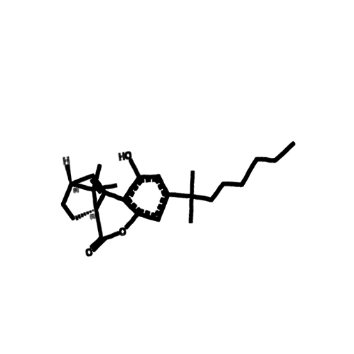 CCCCCCC(C)(C)c1cc(O)c2c(c1)OC(=O)[C@]13CC[C@H](C=C21)C3(C)C